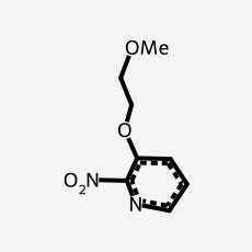 COCCOc1cccnc1[N+](=O)[O-]